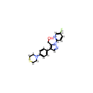 OCc1c(-c2ccc(N3CCSCC3)cc2)cnn1-c1ccc(F)cn1